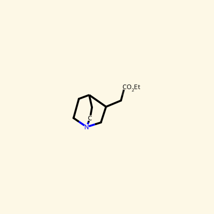 CCOC(=O)CC1CN2CCC1CC2